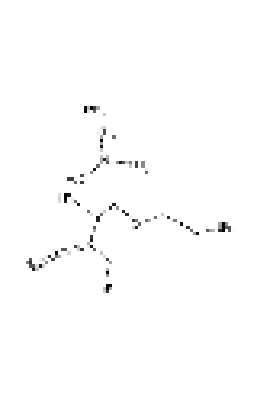 CN(C)C.N.[CH2]C(C)(C)CCOCC(CCC)C(=C=C)CC(C)C